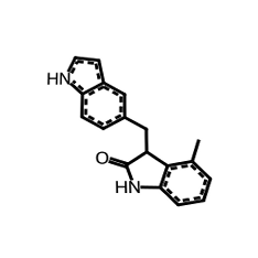 Cc1cccc2c1C(Cc1ccc3[nH]ccc3c1)C(=O)N2